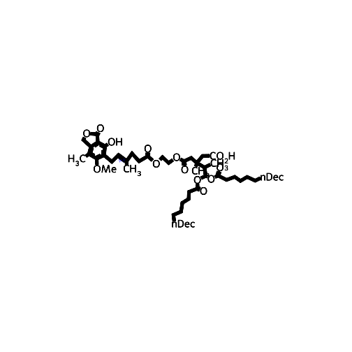 CCCCCCCCCCCCCCCC(=O)OC(OC(=O)CCCCCCCCCCCCCCC)C(C)C(C)(CC(=O)O)CC(=O)OCCOC(=O)CC/C(C)=C/Cc1c(O)c2c(c(C)c1OC)COC2=O